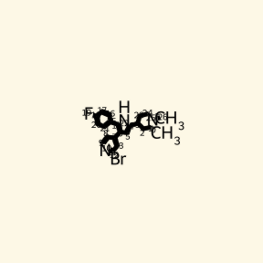 CC1CC(c2cc(-c3ccnc(Br)c3)c(-c3ccc(F)cc3)[nH]2)CCN1C